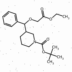 CCOC(=O)COC(c1ccccc1)C1CCCN(C(=O)OC(C)(C)C)C1